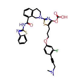 CN(C)CC#Cc1ccc(OCCCc2sc(N3CCc4cccc(C(=O)Nc5nc6ccccc6s5)c4C3)nc2OC(=O)O)cc1F